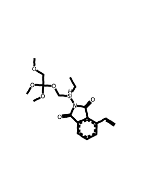 C=Cc1cccc2c1C(=O)N([SiH](CC)COC(COC)(OC)OC)C2=O